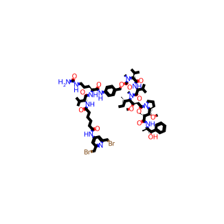 CC[C@H](C)C([C@@H](CC(=O)N1CCC[C@H]1[C@@H](OC)[C@@H](C)C(=O)N[C@H](C)[C@@H](O)c1ccccc1)OC)N(C)C(=O)[C@@H](NC(=O)[C@H](C(C)C)N(C)C(=O)OCc1ccc(NC(=O)[C@H](CCCNC(N)=O)NC(=O)[C@@H](NC(=O)CCCCC(=O)Nc2cc(CBr)nc(CBr)c2)C(C)C)cc1)C(C)C